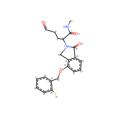 CNC(=O)C(CCC=O)N1Cc2c(OCc3ccccc3F)cccc2C1=O